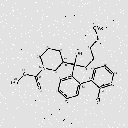 COCCCCC(O)(c1ccccc1-c1ccccc1Cl)[C@@H]1CCCN(C(=O)OC(C)(C)C)C1